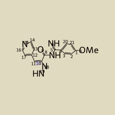 COc1ccc(C(=N)NC(=O)/C(=C\c2ccncc2)N=N)cc1